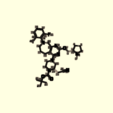 CN1CCC[C@H]1COc1nc2c(c(N3CCN(C(=O)OC(C)(C)C)[C@@H](CC#N)C3)n1)CCCN(c1c(F)cccc1I)C2